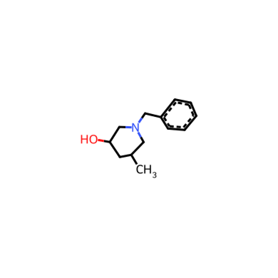 CC1CC(O)CN(Cc2ccccc2)C1